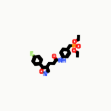 CCOP(=O)(Cc1ccc(NC(=O)CCc2cnoc2-c2ccc(F)cc2)cc1)OCC